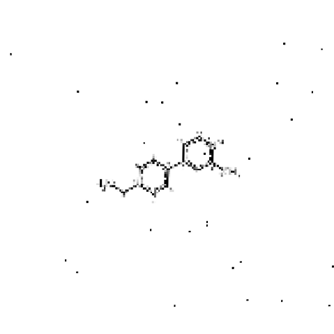 Cc1cc(-c2ccc(CN)nc2)ccn1